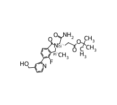 C[C@@H]1c2c(ccc(-c3cc(CO)ccn3)c2F)C(=O)N1[C@@H](CCC(=O)OC(C)(C)C)C(N)=O